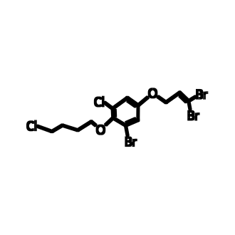 ClCCCCOc1c(Cl)cc(OCC=C(Br)Br)cc1Br